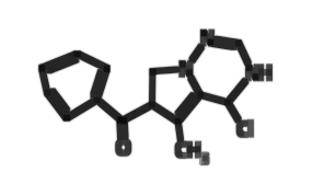 CC1=C2C(Cl)NC=NN2CC1C(=O)c1ccccc1